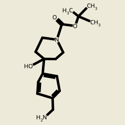 CC(C)(C)OC(=O)N1CCC(O)(c2ccc(CN)cc2)CC1